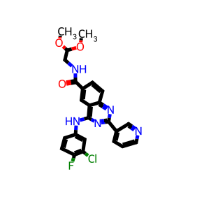 COC(CNC(=O)c1ccc2nc(-c3cccnc3)nc(Nc3ccc(F)c(Cl)c3)c2c1)OC